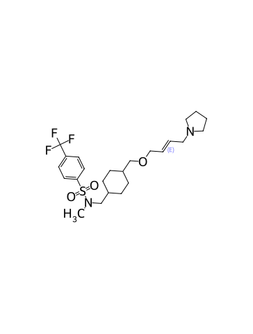 CN(CC1CCC(COC/C=C/CN2CCCC2)CC1)S(=O)(=O)c1ccc(C(F)(F)F)cc1